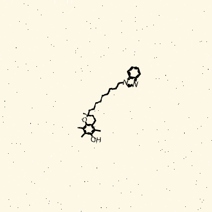 Cc1c(C)c2c(c(C)c1O)CC[C@@](C)(CCCCCCCCCn1cnc3ccccc31)O2